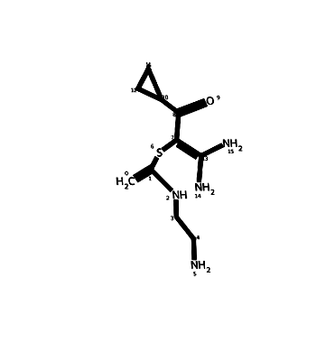 C=C(NCCN)SC(C(=O)C1CC1)=C(N)N